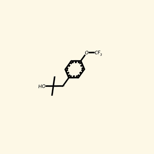 CC(C)(O)[CH]c1ccc(OC(F)(F)F)cc1